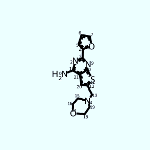 Nc1nc(-c2ccco2)nc2sc(CN3CCOCC3)cc12